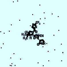 CC1(C)[C@@H]2[C@@H](C(=O)N[C@H](C#N)C[C@@H]3CCNC3=O)N(C(=O)c3csc(C(F)(F)F)n3)C[C@@H]21